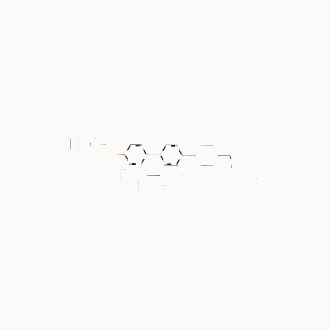 C=CC1CCC(c2ccc3c(c2F)C(F)C(F)c2c-3ccc(OCC)c2F)CC1